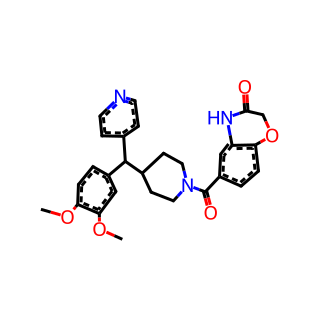 COc1ccc(C(c2ccncc2)C2CCN(C(=O)c3ccc4c(c3)NC(=O)CO4)CC2)cc1OC